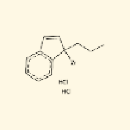 CCC[C]1([Zr])C=Cc2ccccc21.Cl.Cl